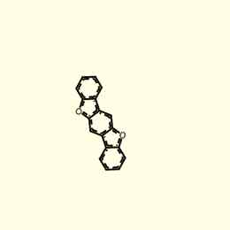 c1ccc2c(c1)oc1cc3c(cc12)oc1ccccc13